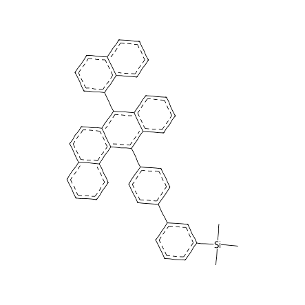 C[Si](C)(C)c1cccc(-c2ccc(-c3c4ccccc4c(-c4cccc5ccccc45)c4ccc5ccccc5c34)cc2)c1